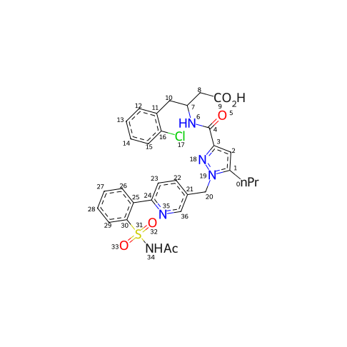 CCCc1cc(C(=O)NC(CC(=O)O)Cc2ccccc2Cl)nn1Cc1ccc(-c2ccccc2S(=O)(=O)NC(C)=O)nc1